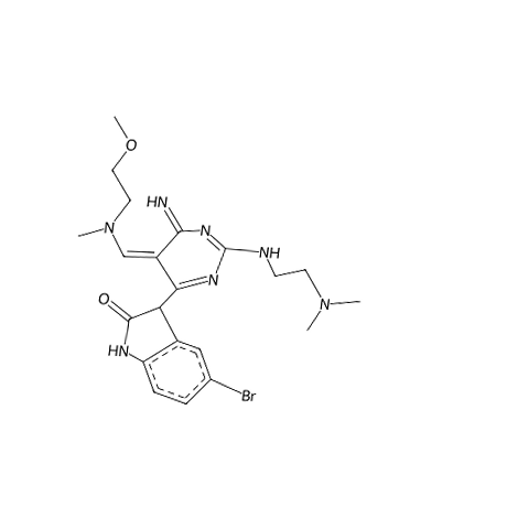 COCCN(C)/C=C1\C(=N)N=C(NCCN(C)C)N=C1C1C(=O)Nc2ccc(Br)cc21